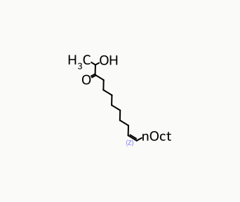 CCCCCCCC/C=C\CCCCCCCC(=O)C(C)O